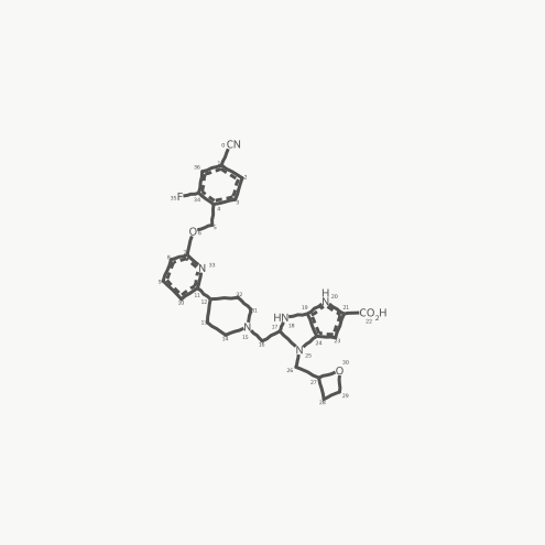 N#Cc1ccc(COc2cccc(C3CCN(CC4Nc5[nH]c(C(=O)O)cc5N4CC4CCO4)CC3)n2)c(F)c1